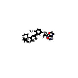 Cc1ccc(NC(=O)/C2=C/C=N\C(C(C)(F)F)=C\CC2)cc1-c1cc2c(nn1)OCC13CC1OCCN23